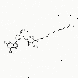 C#C[C@@]1(CO[PH](=O)N[C@@H](C)C(=O)OCCCCCCCCCCCCC)CC[C@H](n2cnc3c(N)nc(F)nc32)O1